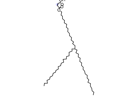 CCCCCCCCCCCCCCCCCCCCCCC(CCCCCCCCCCCCCCCCCCCCCC)CCCCCCCCCCCCCCCCCOC(=O)/C=C\C(=O)O